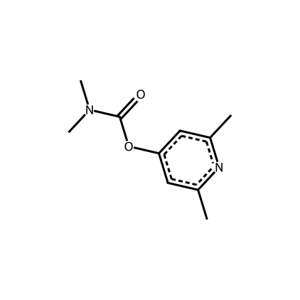 Cc1cc(OC(=O)N(C)C)cc(C)n1